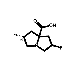 O=C(O)C12CC(F)CN1C[C@H](F)C2